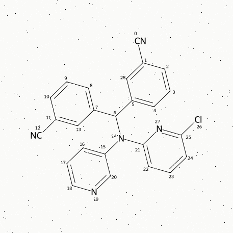 N#Cc1cccc(C(c2cccc(C#N)c2)N(c2cccnc2)c2cccc(Cl)n2)c1